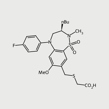 CCCC[C@@H]1CN(c2ccc(F)cc2)c2cc(OC)c(CSCC(=O)O)cc2S(=O)(=O)N1C